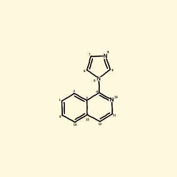 c1ccc2c(-n3ccnc3)nccc2c1